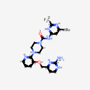 CC(C)(C)c1cc(NC(=O)N2CCN(c3ncccc3OCc3ccnc(N)n3)CC2)nc(C(F)(F)F)n1